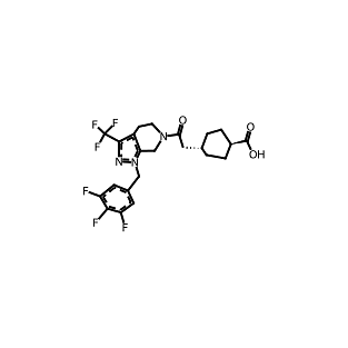 O=C(C[C@H]1CC[C@H](C(=O)O)CC1)N1CCc2c(C(F)(F)F)nn(Cc3cc(F)c(F)c(F)c3)c2C1